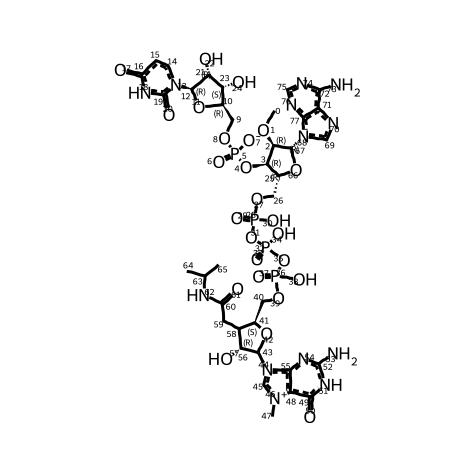 CO[C@@H]1[C@H](OP(=O)([O-])OC[C@H]2O[C@@H](n3ccc(=O)[nH]c3=O)[C@H](O)[C@@H]2O)[C@@H](COP(=O)(O)OP(=O)(O)OP(=O)(O)OC[C@H]2OC(n3c[n+](C)c4c(=O)[nH]c(N)nc43)[C@H](O)C2CC(=O)NC(C)C)O[C@H]1n1cnc2c(N)ncnc21